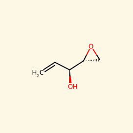 C=C[C@H](O)[C@H]1CO1